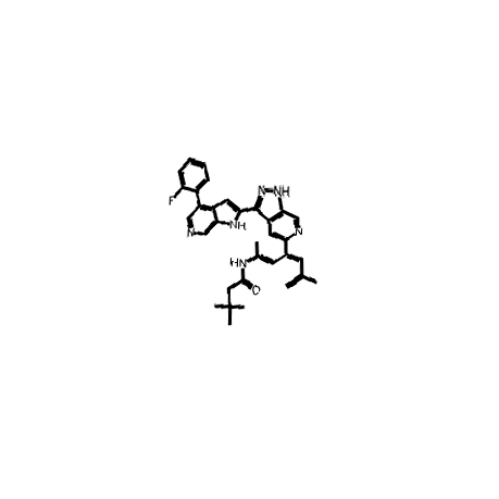 C=C(C)/C=C(\C=C(/C)NC(=O)CC(C)(C)C)c1cc2c(-c3cc4c(-c5ccccc5F)cncc4[nH]3)n[nH]c2cn1